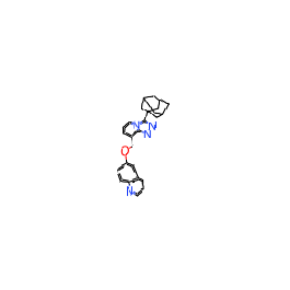 c1cnc2ccc(OCc3cccn4c(C56CC7CC(CC(C7)C5)C6)nnc34)cc2c1